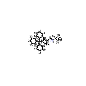 CC1(/C=C/c2ncn(C(c3ccccc3)(c3ccccc3)c3ccccc3)n2)COC1